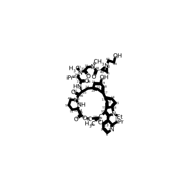 CCn1c(-c2cccnc2C(C)C)c2c3cc(ccc31)-c1cc(O)cc(c1)C[C@H](NC(=O)[C@H](C(C)C)N(C)C(=O)CN(C)C(=O)[C@H]1CN1CCO)C(=O)N1CCC[C@H](N1)C(=O)OCC(C)(C)C2